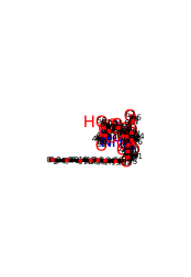 C#CC#CC#CC#CC#CC#CC#CC#CC#CC#CC#COc1cc(C(=O)n2c(=O)ccn([C@@H]3O[C@H](COP(C)(=O)O[C@@H]4C[C@H](n5cc(C)c(=O)[nH]c5=O)O[C@@H]4CO)[C@H](OC(=O)CCC(C)=O)C3O[Si](C)(C)C(C)(C)C)c2=O)cc(C)c1C